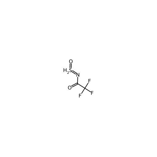 O=[SH2]=NC(=O)C(F)(F)F